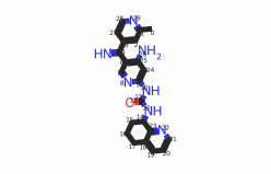 Cc1cc(C(=N)c2cnc(NC(=O)NC3CCCc4cccnc43)cc2N)ccn1